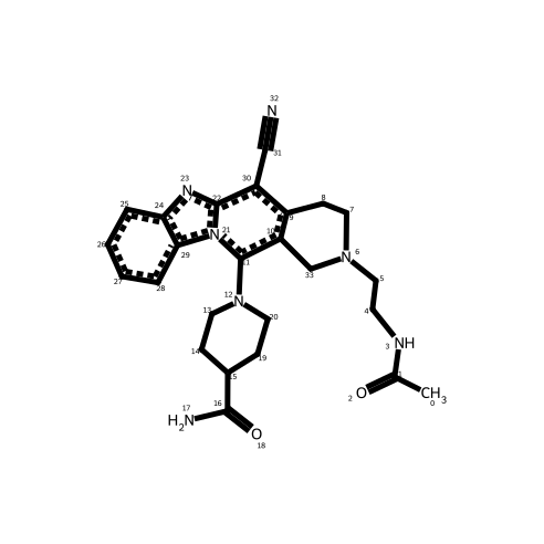 CC(=O)NCCN1CCc2c(c(N3CCC(C(N)=O)CC3)n3c(nc4ccccc43)c2C#N)C1